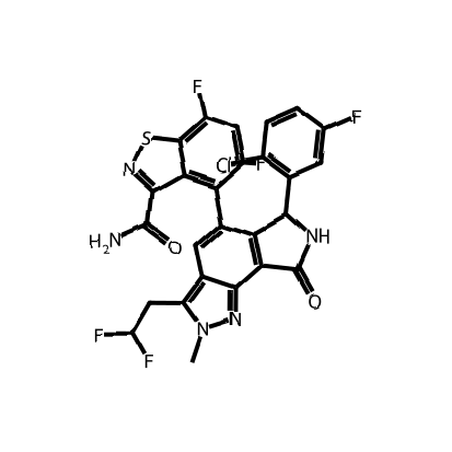 Cn1nc2c3c(c(-c4c(F)cc(F)c5snc(C(N)=O)c45)cc2c1CC(F)F)C(c1cc(F)ccc1Cl)NC3=O